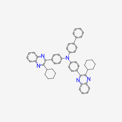 c1ccc(-c2ccc(N(c3ccc(-c4nc5ccccc5nc4C4CCCCC4)cc3)c3ccc(-c4nc5ccccc5nc4C4CCCCC4)cc3)cc2)cc1